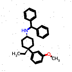 CC[C@]1(c2cccc(OC)c2)CC[C@@H](NC(c2ccccc2)c2ccccc2)CC1